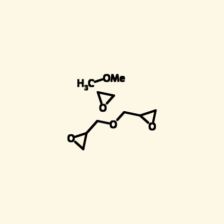 C(OCC1CO1)C1CO1.C1CO1.COC